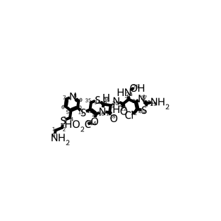 NCCSCc1ccncc1SC1=C(OC(=O)O)N2C(=O)[C@@H](NC(=O)C(NO)c3nc(N)sc3Cl)[C@@H]2SC1